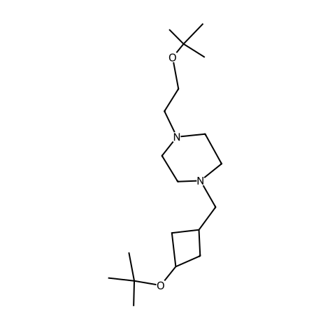 CC(C)(C)OCCN1CCN(CC2CC(OC(C)(C)C)C2)CC1